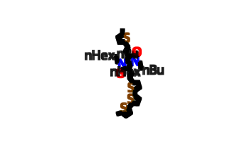 CCCCCCC(CCCC)CN1C(=O)C(/C=C/c2ccc(-c3ccc(-c4ccc(C)s4)s3)s2)=C2C1=C(/C=C/c1ccc(C)s1)C(=O)N2CC(CCCC)CCCCCC